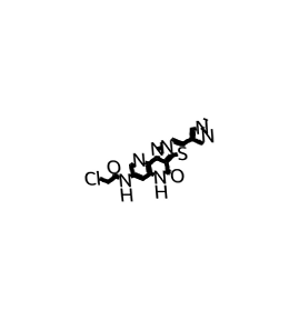 Cn1cc(-c2cn3nc4c5ncc(NC(=O)CCl)cc5[nH]c(=O)c4c3s2)cn1